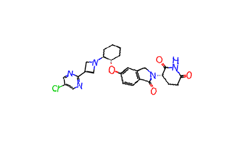 O=C1CC[C@H](N2Cc3cc(O[C@H]4CCCC[C@@H]4N4CC(c5ncc(Cl)cn5)C4)ccc3C2=O)C(=O)N1